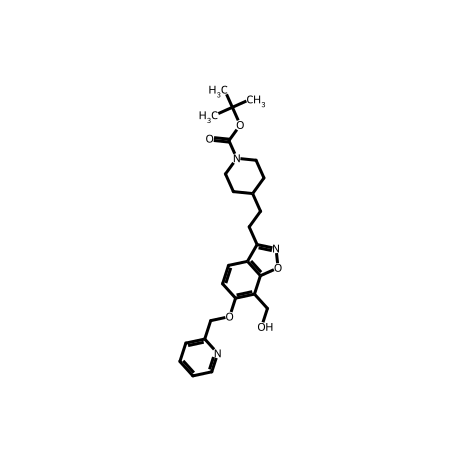 CC(C)(C)OC(=O)N1CCC(CCc2noc3c(CO)c(OCc4ccccn4)ccc23)CC1